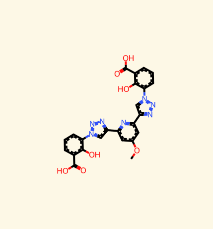 COc1cc(-c2cn(-c3cccc(C(=O)O)c3O)nn2)nc(-c2cn(-c3cccc(C(=O)O)c3O)nn2)c1